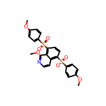 COc1ccc(S(=O)(=O)c2ccc(S(=O)(=O)c3ccc(OC)cc3)c3c(OC)nccc23)cc1